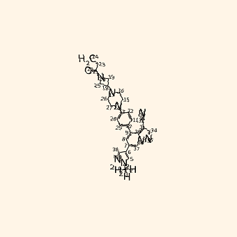 [2H]C([2H])([2H])n1cc(-c2cc(-c3ccc(N4CCN(C5CN(C(=O)C=C)C5)CC4)cc3)c3c(C#N)cnn3c2)cn1